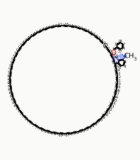 CNc1cccc2c1N=C1C=C(OCc3ccccc3)C=CCC=CC=CC=CC=CC=CC=CC=CC=CC=CC=CC=CC=CC=CC=CC=CC=CC=CC=CC=CC=CC=CC=CC=CC=CC=CC=CC=CC=CC=CC=CC=CC=CC=CC=CC=CC=CC=CC=CC=CC=CC=CC=CC=CC=CC=CC=CC=C12